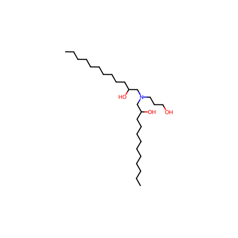 CCCCCCCCCCC(O)CN(CCCO)CC(O)CCCCCCCCCC